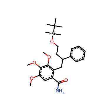 COc1cc(C(N)=O)c(CC(CCO[Si](C)(C)C(C)(C)C)c2ccccc2)c(OC)c1OC